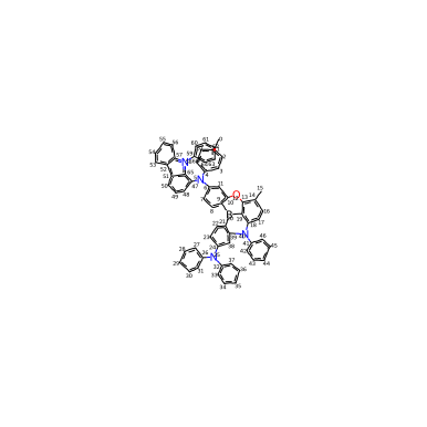 Cc1ccc(N(c2ccc3c(c2)Oc2c(C)ccc4c2B3c2ccc(N(c3ccccc3)c3ccccc3)cc2N4c2ccccc2)c2cccc3c4ccccc4n(-c4ccccc4)c23)cc1